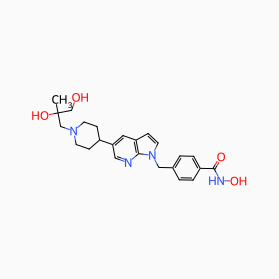 CC(O)(CO)CN1CCC(c2cnc3c(ccn3Cc3ccc(C(=O)NO)cc3)c2)CC1